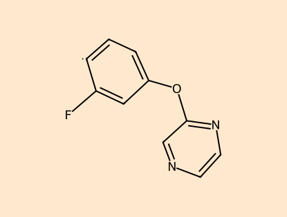 Fc1[c]ccc(Oc2cnccn2)c1